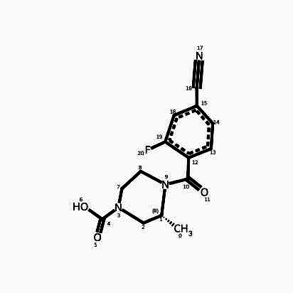 C[C@@H]1CN(C(=O)O)CCN1C(=O)c1ccc(C#N)cc1F